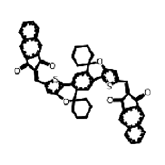 O=C1C(=Cc2cc3c(s2)-c2cc4c(cc2C2(CCCCC2)O3)-c2sc(C=C3C(=O)c5cc6ccccc6cc5C3=O)cc2OC42CCCCC2)C(=O)c2cc3ccccc3cc21